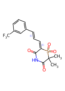 CC1(C)C(=O)NC(=O)/C(=C\C=C\c2cccc(C(F)(F)F)c2)S1(=O)=O